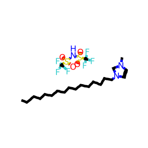 CCCCCCCCCCCCCCCCN1C=CN(C)C1.O=S(=O)(NS(=O)(=O)C(F)(F)F)C(F)(F)F